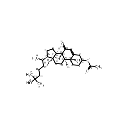 CC(=O)O[C@H]1CC[C@@]2(C)C(=CC(=O)[C@H]3[C@@H]4CC[C@H](C(C)CCCC(C)(C)O)[C@@]4(C)CC[C@@H]32)C1